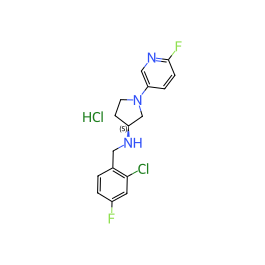 Cl.Fc1ccc(CN[C@H]2CCN(c3ccc(F)nc3)C2)c(Cl)c1